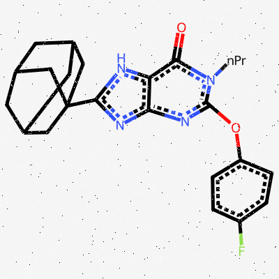 CCCn1c(Oc2ccc(F)cc2)nc2nc(C34CC5CC(CC(C5)C3)C4)[nH]c2c1=O